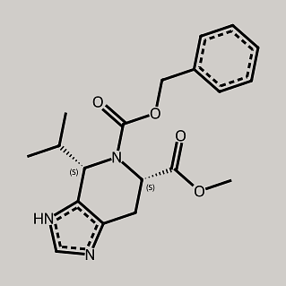 COC(=O)[C@@H]1Cc2nc[nH]c2[C@H](C(C)C)N1C(=O)OCc1ccccc1